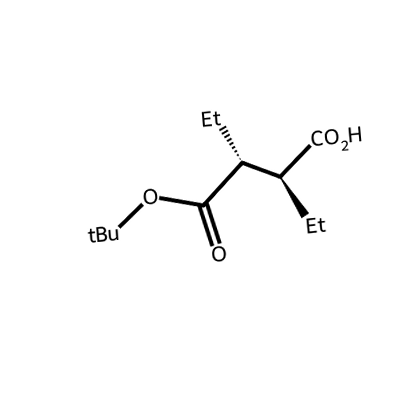 CC[C@H](C(=O)O)[C@@H](CC)C(=O)OC(C)(C)C